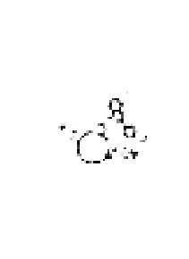 COc1ccc2c(O[C@@H]3C[C@H]4C(=O)N[C@]5(C(=O)NS(=O)(=O)C6(C)CC6)C[C@H]5/C=C\CC[C@H](C)C[C@@H](C)[C@H](NC(=O)OC(C)(C)C(F)(F)F)C(=O)N4C3)nc(-c3ccc4c(c3)OCCO4)cc2c1